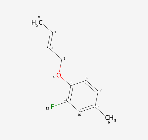 CC=CCOc1ccc(C)cc1F